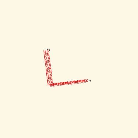 O.O.O.O.O.O.O.O.O.O.O.O.O.O.O.O.O.O.O.O.O.O.O.O.O.O.O.O.O.O.O.O.O.O.O.O.O.O.O.O.O.O.O.O.O.O.O.O.O.O.[Fe].[Fe]